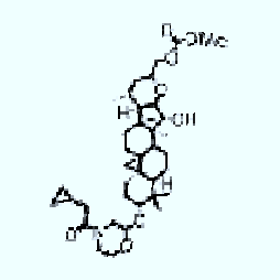 COC(=O)OCC1C[C@@H](C)[C@H]2C(O1)[C@H](O)[C@@]1(C)C3CC[C@H]4C(C)(C)[C@@H](OC5CN(C(=O)CC6CC6)CCO5)CC[C@@]45C[C@@]35CC[C@]21C